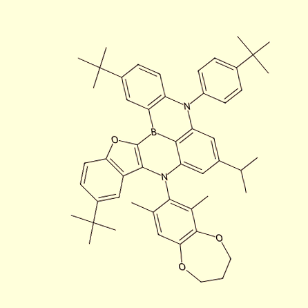 Cc1cc2c(c(C)c1N1c3cc(C(C)C)cc4c3B(c3cc(C(C)(C)C)ccc3N4c3ccc(C(C)(C)C)cc3)c3oc4ccc(C(C)(C)C)cc4c31)OCCCO2